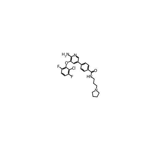 Nc1ncc(-c2ccc(C(=O)NCCCN3CCCC3)cc2)cc1Oc1c(F)ccc(F)c1Cl